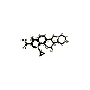 O=C(O)c1cn(C2CC2)c2c(OC(F)F)c(C3CC4CNCCN4C3)ccc2c1=O